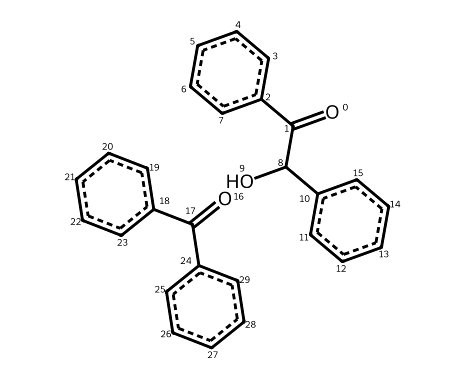 O=C(c1ccccc1)C(O)c1ccccc1.O=C(c1ccccc1)c1ccccc1